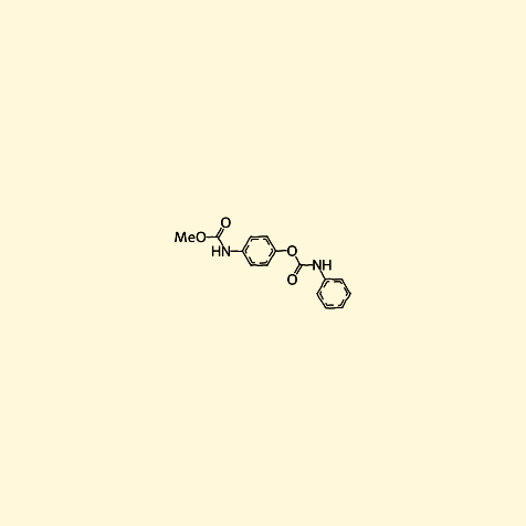 COC(=O)Nc1ccc(OC(=O)Nc2ccccc2)cc1